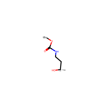 C[C@H](O)CCNC(=O)OC(C)(C)C